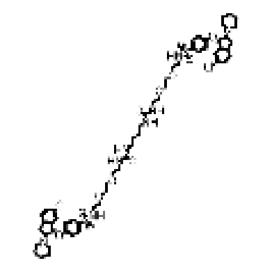 O=C(NCCCCNC(=O)NCCOCCOCCNS(=O)(=O)c1ccc(O[C@H]2c3cc(Cl)ccc3C[C@@H]2N2CCCCC2)cc1)NCCOCCOCCNS(=O)(=O)c1ccc(O[C@H]2c3cc(Cl)ccc3C[C@@H]2N2CCCCC2)cc1